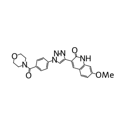 COc1ccc2cc(-c3cn(-c4ccc(C(=O)N5CCOCC5)cc4)nn3)c(=O)[nH]c2c1